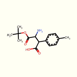 Cc1ccc(C(C(=O)O)C(N)C(=O)OC(C)(C)C)cc1